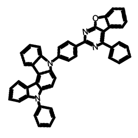 c1ccc(-c2nc(-c3ccc(-n4c5ccccc5c5c6c7ccccc7n(-c7ccccc7)c6ccc54)cc3)nc3oc4ccccc4c23)cc1